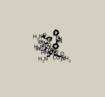 CC[C@H](C)[C@@H](C(=O)N1CCC[C@H]1CC(N)=O)N(C)C(=O)[C@H](CC(C)C)NC(=O)[C@H](CCN)N([C@H](CCC(N)=O)C(=O)O)S(=O)(=O)c1ccc(-c2cn(-c3ccccc3)nn2)cc1